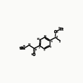 CCOC(C)c1ccc(C(=O)CC(C)(C)C)cc1